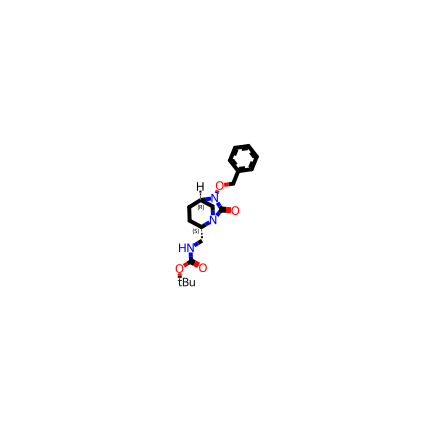 CC(C)(C)OC(=O)NC[C@@H]1CC[C@@H]2CN1C(=O)N2OCc1ccccc1